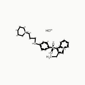 CCc1cn2ccccc2c1S(=O)(=O)c1ccc(OCCCN2CCCCC2)cc1.Cl